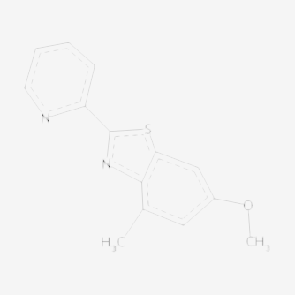 COc1cc(C)c2nc(-c3ccccn3)sc2c1